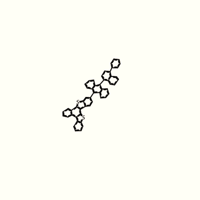 c1ccc(-c2ccc(-c3c4ccccc4c(-c4ccc5c(c4)sc4c6ccccc6c6c7ccccc7sc6c54)c4ccccc34)c3ccccc23)cc1